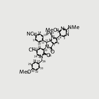 CNc1ncc(-c2cc3c(n2C(C)C)C(c2ccc(C#N)cc2)N(c2cc(Cl)cn(Cc4ccc(OC)cc4)c2=O)C3=O)c(OC)n1